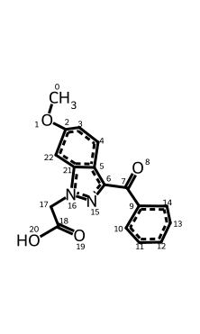 COc1ccc2c(C(=O)c3ccccc3)nn(CC(=O)O)c2c1